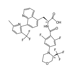 Cc1ccc(C(F)(F)F)c(-c2ccc(C[C@H](NC(=O)c3c(F)cc(N4CCOC[C@@H]4C(F)(F)F)cc3F)C(=O)O)c3cccnc23)n1